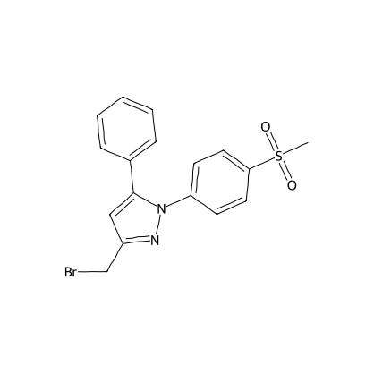 CS(=O)(=O)c1ccc(-n2nc(CBr)cc2-c2ccccc2)cc1